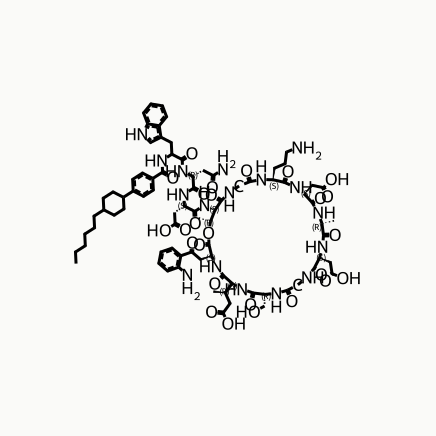 CCCCCCC1CCC(c2ccc(C(=O)NC(Cc3c[nH]c4ccccc34)C(=O)N[C@H](CC(N)=O)C(=O)N[C@@H](CC(=O)O)C(=O)N[C@@H]3C(=O)NCC(=O)N[C@@H](CCCN)C(=O)N[C@@H](CC(=O)O)C(=O)N[C@H](C)C(=O)N[C@@H](CC(=O)O)C(=O)NCC(=O)N[C@H](CO)C(=O)N[C@@H]([C@H](C)CC(=O)O)C(=O)N[C@@H](CC(=O)c4ccccc4N)C(=O)O[C@@H]3C)cc2)CC1